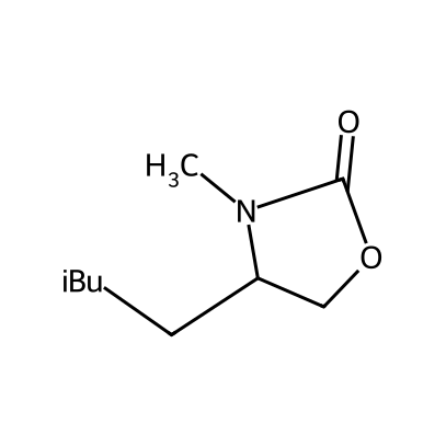 CCC(C)CC1COC(=O)N1C